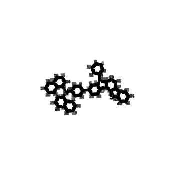 c1ccc(-n2c3cc(-c4ccc(N(c5cccc6ccccc56)c5cccc6ccccc56)cc4)ccc3c3c4sc5ccccc5c4ccc32)cc1